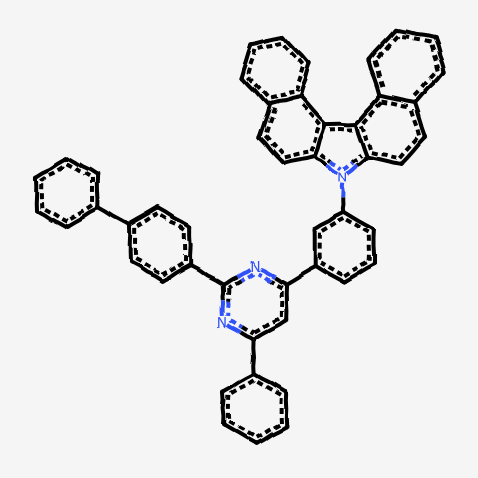 c1ccc(-c2ccc(-c3nc(-c4ccccc4)cc(-c4cccc(-n5c6ccc7ccccc7c6c6c7ccccc7ccc65)c4)n3)cc2)cc1